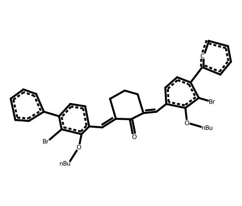 CCCCOc1c(/C=C2\CCC/C(=C\c3ccc(-c4ccccc4)c(Br)c3OCCCC)C2=O)ccc(-c2ccccc2)c1Br